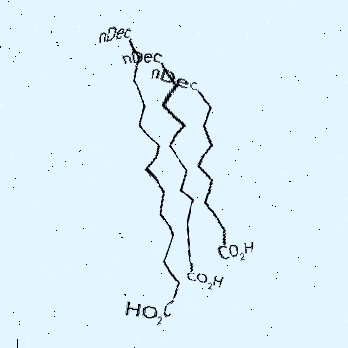 CCCCCCCCCCCCCCCCCC(=O)O.CCCCCCCCCCCCCCCCCCCC(=O)O.CCCCCCCCCCCCCCCCCCCCCC(=O)O